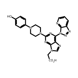 O=C(O)Cn1cnc2c(-n3nnc4cccnc43)nc(N3CCN(c4ccc(O)cc4)CC3)nc21